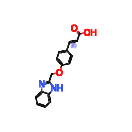 O=C(O)/C=C/c1ccc(OCc2nc3ccccc3[nH]2)cc1